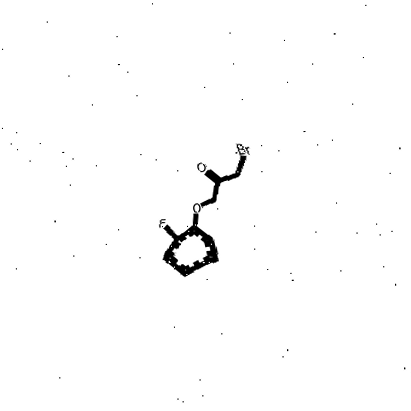 O=C(CBr)COc1cc[c]cc1F